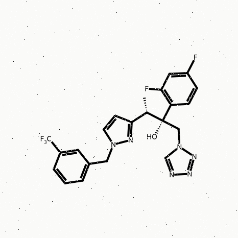 C[C@@H](c1ccn(Cc2cccc(C(F)(F)F)c2)n1)[C@](O)(Cn1cnnn1)c1ccc(F)cc1F